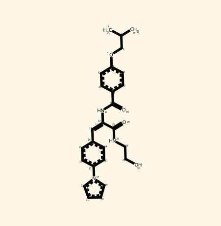 CC(C)COc1ccc(C(=O)N/C(=C/c2ccc(-n3cccc3)cc2)C(=O)NCCO)cc1